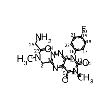 CN(Cc1nnc2c(n1)c(=O)n(C)c(=O)n2-c1ccc(F)cc1)C(=O)CN